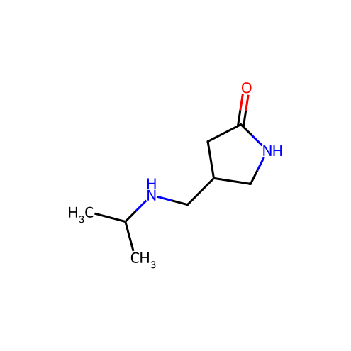 CC(C)NCC1CNC(=O)C1